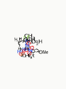 CCOc1cc2cc(OC)ccc2c(O[C@@H]2C[C@H]3C(=O)N[C@]4(C(=O)NS(=O)(=O)C5(C)CC5)C[C@H]4/C=C\CC[C@H](C)C[C@@H](C)[C@H](N(C(=O)O)C(C)(C)C(C)(F)F)C(=O)N3C2)n1